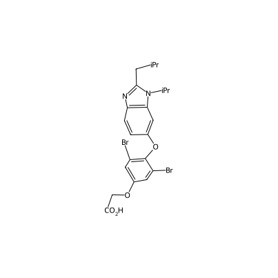 CC(C)Cc1nc2ccc(Oc3c(Br)cc(OCC(=O)O)cc3Br)cc2n1C(C)C